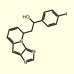 OC(CC1C=CC=c2cc3c(n21)=NC=N3)c1ccc(I)cc1